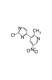 Cc1ncc([N+](=O)[O-])cc1-c1ccnc(Cl)n1